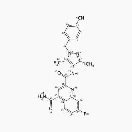 Cc1nn(Cc2ccc(C#N)cc2)c(C(F)(F)F)c1NC(=O)c1cc(C(N)=O)c2ccc(F)cc2n1